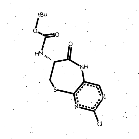 CC(C)(C)OC(=O)N[C@H]1CSc2nc(Cl)ncc2NC1=O